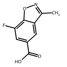 Cc1noc2c(F)cc(C(=O)O)cc12